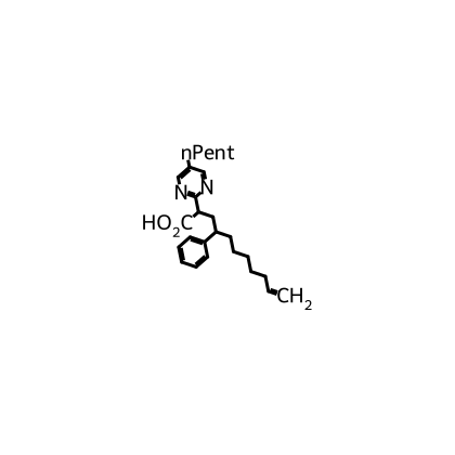 C=CCCCCCC(CC(C(=O)O)c1ncc(CCCCC)cn1)c1ccccc1